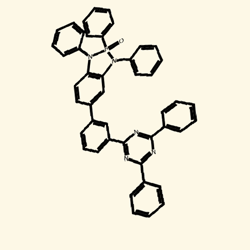 O=P1(c2ccccc2)N(c2ccccc2)c2ccc(-c3cccc(-c4nc(-c5ccccc5)nc(-c5ccccc5)n4)c3)cc2N1c1ccccc1